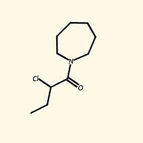 CCC(Cl)C(=O)N1CCCCCC1